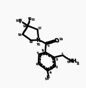 NCc1cc(F)ccc1C(=O)N1CCC(F)(F)C1